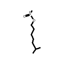 CC(C)CCCCCO[PH](C)=O